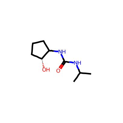 CC(C)NC(=O)NC1CCC[C@H]1O